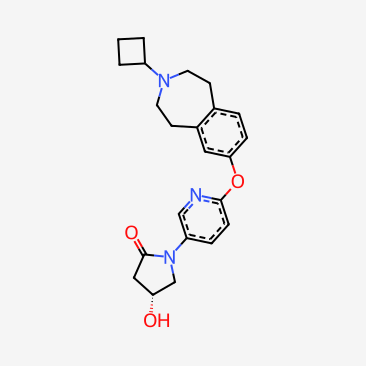 O=C1C[C@@H](O)CN1c1ccc(Oc2ccc3c(c2)CCN(C2CCC2)CC3)nc1